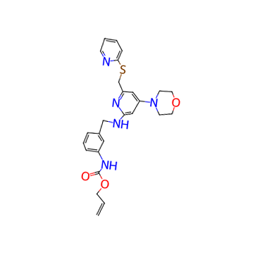 C=CCOC(=O)Nc1cccc(CNc2cc(N3CCOCC3)cc(CSc3ccccn3)n2)c1